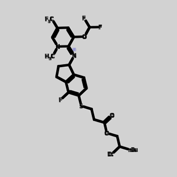 CCCCC(CC)COC(=O)CCSc1ccc2c(c1F)CCC2/N=c1/c(OC(F)F)cc(C(F)(F)F)cn1C